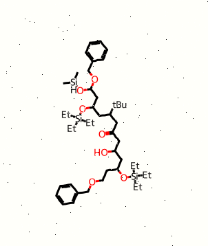 CC[Si](CC)(CC)OC(CCOCc1ccccc1)CC(O)CC(=O)CC(CC(CC(OCc1ccccc1)O[SiH](C)C)O[Si](CC)(CC)CC)C(C)(C)C